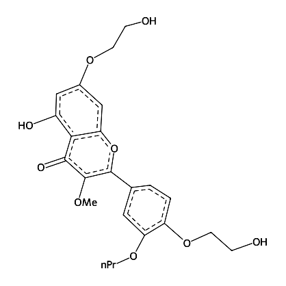 CCCOc1cc(-c2oc3cc(OCCO)cc(O)c3c(=O)c2OC)ccc1OCCO